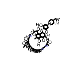 CNCC1CCN(c2cc(O)c3nc4c5c6c7c(C)c(O)c5c(=O)c(c-4oc3c2)NC(=O)/C(C)=C\C=C\[C@H](C)[C@H](O)[C@@H](C)[C@@H](O)[C@@H](C)[C@H](OC(C)=O)[C@H](C)[C@@H](OC)/C=C/O[C@@](C)(O7)C6=O)CC1